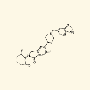 O=C1c2cc(F)c(C3CCN(Cc4ccc5ncsc5c4)CC3)cc2CN1N1C(=O)CCCC1=O